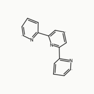 [c]1cc(-c2ccc[c]n2)nc(-c2ccc[c]n2)c1